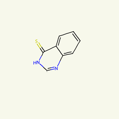 S=c1[nH][c]nc2ccccc12